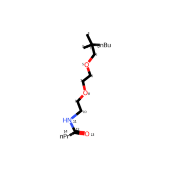 CCCCC(C)(C)COCCOCCNC(=O)CCC